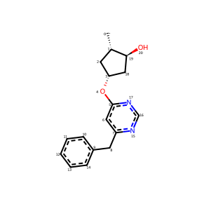 [CH2][C@H]1C[C@@H](Oc2cc(Cc3ccccc3)ncn2)C[C@@H]1O